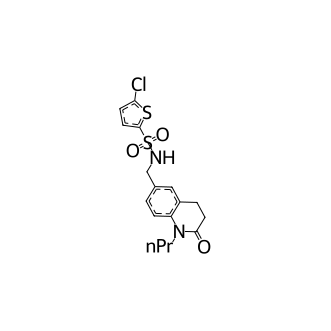 CCCN1C(=O)CCc2cc(CNS(=O)(=O)c3ccc(Cl)s3)ccc21